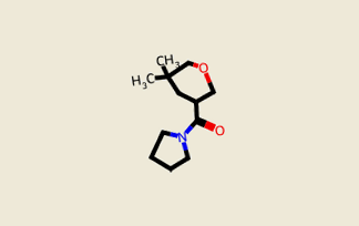 CC1(C)COCC(C(=O)N2C[CH]CC2)C1